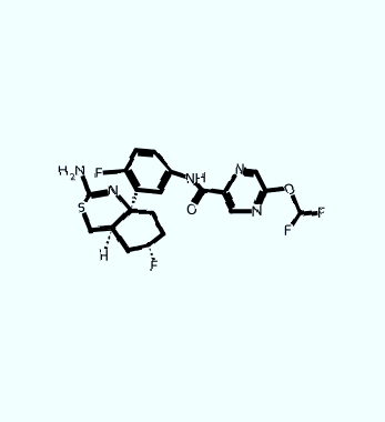 NC1=N[C@@]2(c3cc(NC(=O)c4cnc(OC(F)F)cn4)ccc3F)CC[C@H](F)C[C@H]2CS1